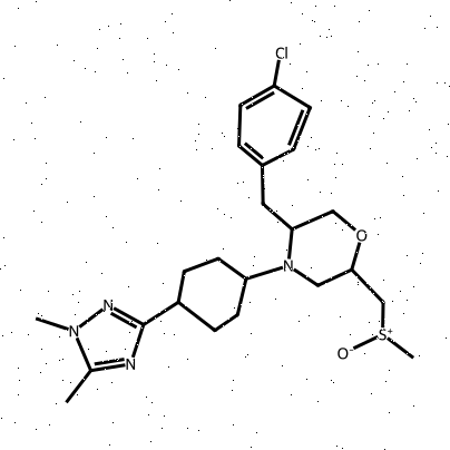 Cc1nc(C2CCC(N3CC(C[S+](C)[O-])OCC3Cc3ccc(Cl)cc3)CC2)nn1C